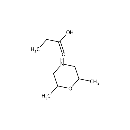 CC1CNCC(C)O1.CCC(=O)O